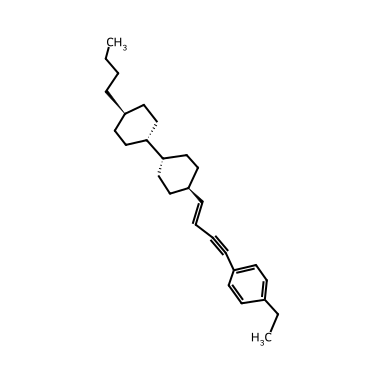 CCCC[C@H]1CC[C@H]([C@H]2CC[C@H](C=CC#Cc3ccc(CC)cc3)CC2)CC1